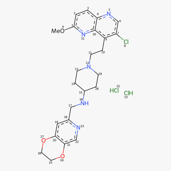 COc1ccc2ncc(Cl)c(CCN3CCC(NCc4cc5c(cn4)OCCO5)CC3)c2n1.Cl.Cl